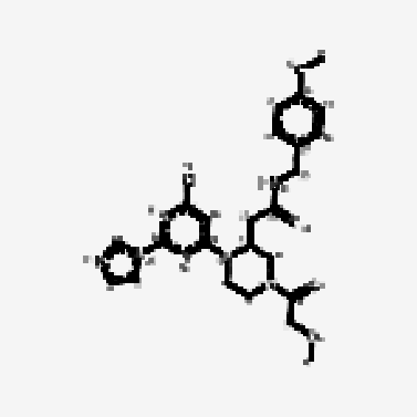 COCC(=O)N1CCN(c2cc(Cl)nc(-n3ccnc3)n2)C(CC(=O)NCc2ccc(OC)cc2)C1